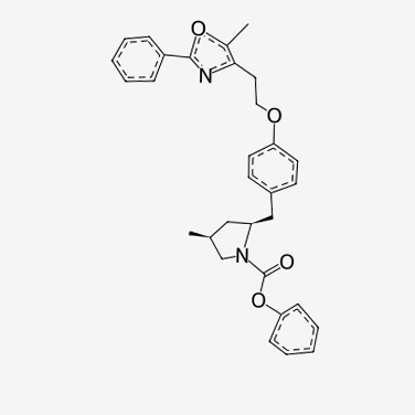 Cc1oc(-c2ccccc2)nc1CCOc1ccc(C[C@@H]2C[C@H](C)CN2C(=O)Oc2ccccc2)cc1